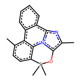 Cc1nc2c3ccccc3c3c(C)ccc4c3n2c1O[Si]4(C)C